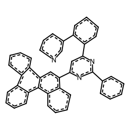 c1ccc(-c2nc(-c3ccccc3-c3cccnc3)cc(-c3cc4c5ccccc5c5ccccc5c4c4ccccc34)n2)cc1